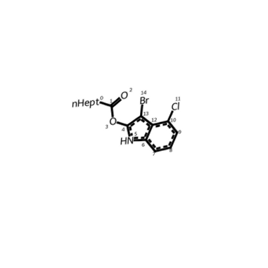 CCCCCCCC(=O)Oc1[nH]c2cccc(Cl)c2c1Br